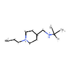 CCC(C)(CC)NCC1CCN(CCC(C)(C)C)CC1